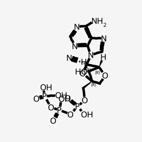 N#C[C@@]1(n2cnc3c(N)ncnc32)O[C@@]2(COP(=O)(O)OP(=O)(O)OP(=O)(O)O)CO[C@@H]1[C@@H]2O